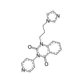 O=c1c2ccccc2n(CCCn2ccnc2)c(=O)n1-c1ccncc1